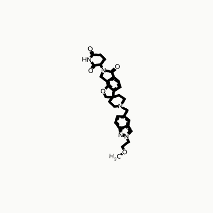 COCCn1cc2cc(CN3CCC4(CC3)COc3c4ccc4c3CN(C3CCC(=O)NC3=O)C4=O)ccc2n1